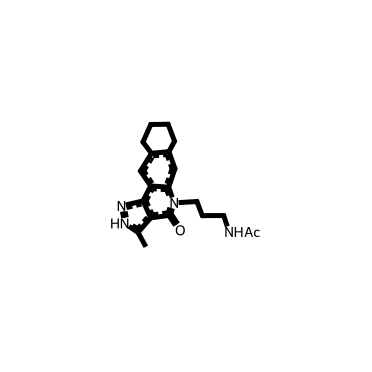 CC(=O)NCCCn1c(=O)c2c(C)[nH]nc2c2cc3c(cc21)CCCC3